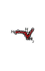 CNCCN(CCOCCOCCOCCOCCC(=O)N1CCC(C(=O)O)CC1)C(=O)OCc1ccc(NC(=O)[C@H](CCCNC(N)=O)NC(=O)[C@@H](NC(=O)CCOCCOCCOCCOCCOC)C(C)C)cc1